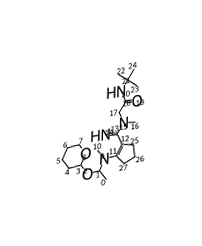 CC(OC1CCCCO1)N(C)C1=C(C(=N)N(C)CC(=O)NC(C)(C)C)CCC1